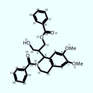 COc1cc2c(cc1OC)C(C(CO)COC(=O)c1ccccc1)N(C(=O)c1ccccc1)CC2